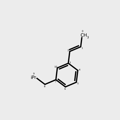 CC=Cc1cccc(CC(C)C)c1